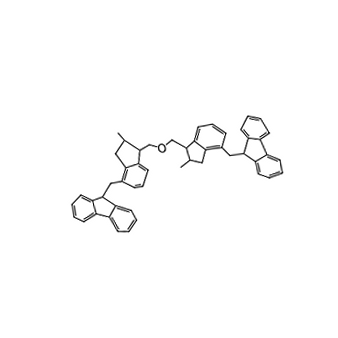 CC1Cc2c(CC3c4ccccc4-c4ccccc43)cccc2C1COCC1c2cccc(CC3c4ccccc4-c4ccccc43)c2CC1C